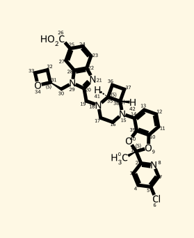 C[C@]1(c2ccc(Cl)cn2)Oc2cccc(N3CCN(Cc4nc5ccc(C(=O)O)cc5n4C[C@@H]4CCO4)[C@H]4CC[C@@H]43)c2O1